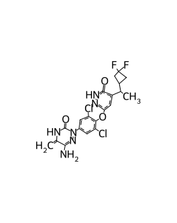 C=C1NC(=O)N(c2cc(Cl)c(Oc3cc(C(C)C4CC(F)(F)C4)c(=O)[nH]n3)c(Cl)c2)N=C1N